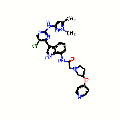 Cc1cc(Nc2ncc(Cl)c(-c3c[nH]c4c(NC(=O)CN5CCC(Oc6ccncc6)C5)cccc34)n2)nn1C